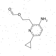 Nc1ccc(C2CC2)nc1CCOC=O